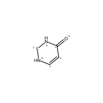 O=C1C=CNSN1